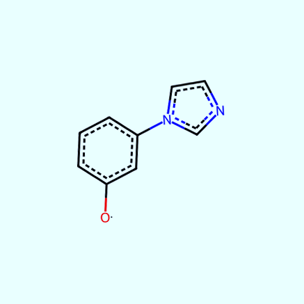 [O]c1cccc(-n2ccnc2)c1